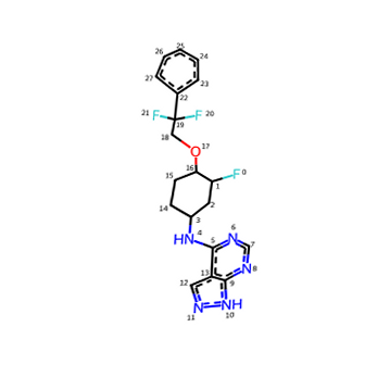 FC1CC(Nc2ncnc3[nH]ncc23)CCC1OCC(F)(F)c1ccccc1